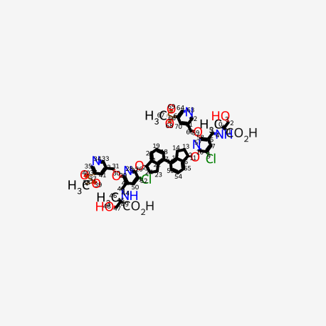 CC(CO)(NCc1cc(Cl)c(O[C@H]2CCc3c(-c4cccc5c4CC[C@@H]5Oc4nc(OCc5cncc(S(C)(=O)=O)c5)c(CNC(C)(CO)C(=O)O)cc4Cl)cccc32)nc1OCc1cncc(S(C)(=O)=O)c1)C(=O)O